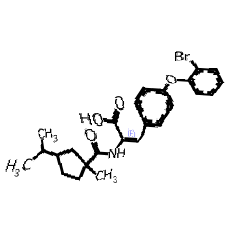 CC(C)C1CCC(C)(C(=O)N/C(=C/c2ccc(Oc3ccccc3Br)cc2)C(=O)O)C1